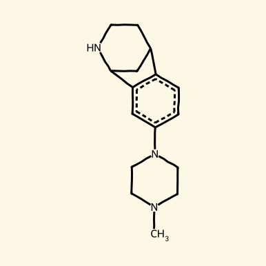 CN1CCN(c2ccc3c(c2)C2CC3CCN2)CC1